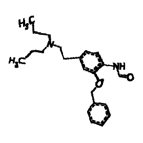 CCCN(CCC)CCc1ccc(NC=O)c(OCc2ccccc2)c1